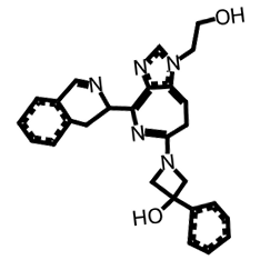 OCCn1cnc2c1=CCC(N1CC(O)(c3ccccc3)C1)=NC=2C1Cc2ccccc2C=N1